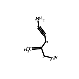 C=C(CC#CN)CCCC